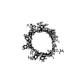 CCCC[C@H]1C(=O)N(C)CC(=O)N[C@@H](CC(=O)O)C(=O)N[C@@H](C(C)C)C(=O)N(C)[C@@H](Cc2ccccc2)C(=O)N[C@@H](Cc2ccc(O)cc2)C(=O)N(C)CC(=O)N[C@@H](Cc2c[nH]c3ccccc23)C(=O)N[C@@H](Cc2ccc(O)cc2)C(=O)N[C@@H](CC(C)C)C(=O)N[C@H](C(=O)NCC(N)=O)CSCC(=O)N[C@@H](Cc2c(F)c(F)c(F)c(F)c2F)C(=O)N(C)[C@@H](Cc2ccccc2)C(=O)N1C